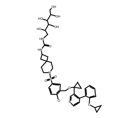 O=C(NCC(O)C(O)C(O)C(O)CO)NC1CC2(CCN(S(=O)(=O)c3ccc(Cl)c(COC4(c5cnccc5-c5ccccc5OC5CC5)CC4)c3)CC2)C1